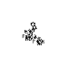 Cc1nc(N(C)C)c2ncn([C@@H]3O[C@](CCl)(COP(=O)(N[C@@H](C)C(=O)OC(C)C)Oc4cccc5ccccc45)[C@@H](O)[C@H]3F)c2n1